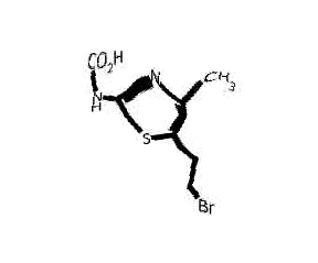 Cc1nc(NC(=O)O)sc1CCBr